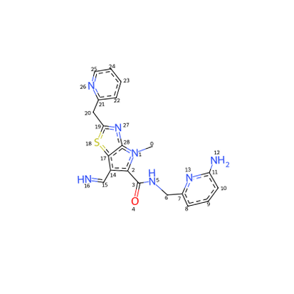 Cn1c(C(=O)NCc2cccc(N)n2)c(C=N)c2sc(Cc3ccccn3)nc21